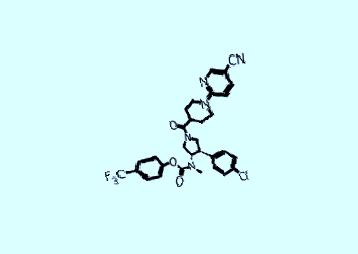 CN(C(=O)Oc1ccc(C(F)(F)F)cc1)[C@@H]1CN(C(=O)C2CCN(c3ccc(C#N)cn3)CC2)C[C@H]1c1ccc(Cl)cc1